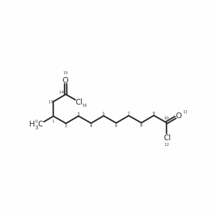 CC(CCCCCCCCC(=O)Cl)CC(=O)Cl